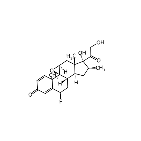 C[C@H]1C[C@H]2[C@@H]3C[C@@H](F)C4=CC(=O)C=C[C@]4(C)[C@@]34O[C@H]4C[C@]2(C)[C@@]1(O)C(=O)CO